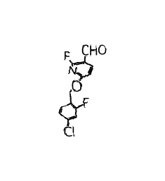 O=Cc1ccc(OCc2ccc(Cl)cc2F)nc1F